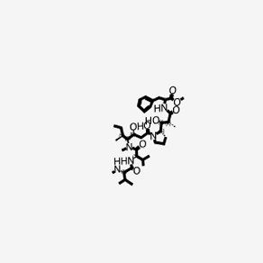 CC[C@H](C)[C@@H]([C@H](O)CC(=O)N1CCC[C@H]1[C@H](O)[C@@H](C)C(=O)NC(Cc1ccccc1)C(=O)OC)N(C)C(=O)[C@@H](NC(=O)[C@@H](NC)C(C)C)C(C)C